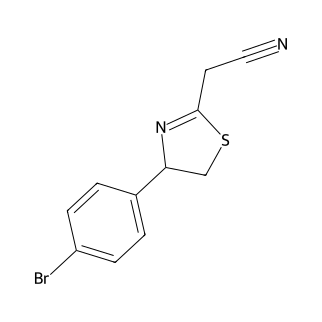 N#CCC1=NC(c2ccc(Br)cc2)CS1